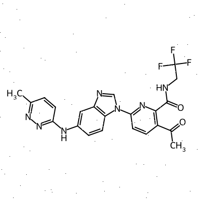 CC(=O)c1ccc(-n2cnc3cc(Nc4ccc(C)nn4)ccc32)nc1C(=O)NCC(F)(F)F